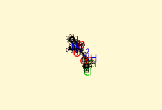 CC(C)C[C@H](N)C(=O)N(CCCCNS(=O)(=O)c1ccc(Cl)cc1Cl)C(=O)CCC1CCCCC1